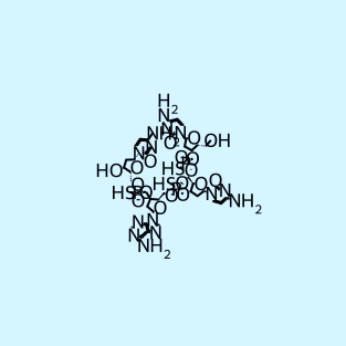 Nc1ccn([C@H]2CC(O)[C@@H](COP(=O)(S)OC3C[C@H](n4cnc5c(N)ncnc54)O[C@@H]3COP(=O)(S)OC3C[C@H](n4ccc(N)nc4=O)O[C@@H]3COP(=O)(S)OC3C[C@H](n4ccc(N)nc4=O)O[C@@H]3CO)O2)c(=O)n1